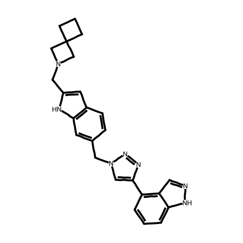 c1cc(-c2cn(Cc3ccc4cc(CN5CC6(CCC6)C5)[nH]c4c3)nn2)c2cn[nH]c2c1